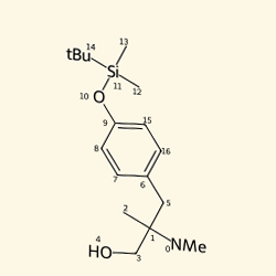 CNC(C)(CO)Cc1ccc(O[Si](C)(C)C(C)(C)C)cc1